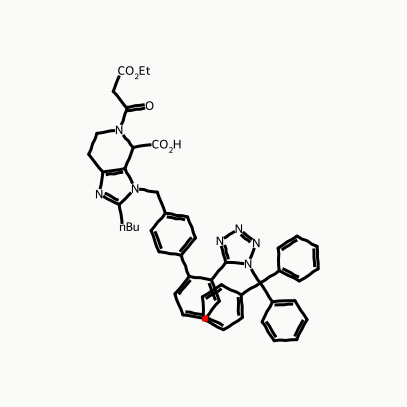 CCCCc1nc2c(n1Cc1ccc(-c3ccccc3-c3nnnn3C(c3ccccc3)(c3ccccc3)c3ccccc3)cc1)C(C(=O)O)N(C(=O)CC(=O)OCC)CC2